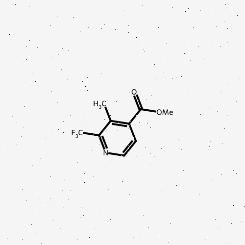 COC(=O)c1ccnc(C(F)(F)F)c1C